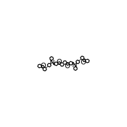 c1ccc(N(c2ccc(-c3cccc4c3oc3ccccc34)cc2)c2ccc3c(c2)oc2c3ccc3c2ccc2c4ccc(N(c5ccccc5)c5ccc(-c6cccc7c6oc6ccccc67)cc5)cc4oc23)cc1